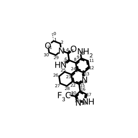 C[C@@H]1CN(C(=O)C(=N)c2c(N)ccc3nc(-c4c[nH]nc4C(F)(F)F)c4c(c23)CCCC4)CCO1